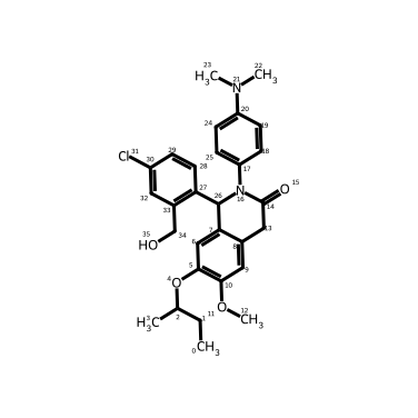 CCC(C)Oc1cc2c(cc1OC)CC(=O)N(c1ccc(N(C)C)cc1)C2c1ccc(Cl)cc1CO